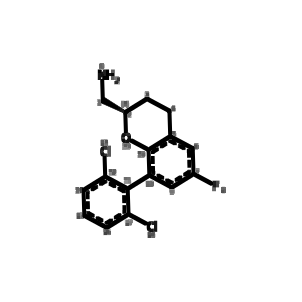 NC[C@H]1CCc2cc(F)cc(-c3c(Cl)cccc3Cl)c2O1